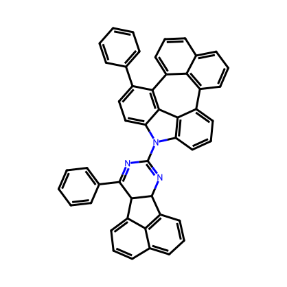 c1ccc(C2=NC(n3c4cccc5c4c4c(c(-c6ccccc6)ccc43)-c3cccc4cccc-5c34)=NC3c4cccc5cccc(c45)C23)cc1